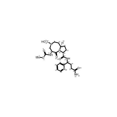 CC(C)(C)OC(=O)N[C@H]1CN(C(=O)O)CC[C@H]2CC[C@@H](C(=O)NC(CCC(N)=O)c3ccccn3)N2C1=O